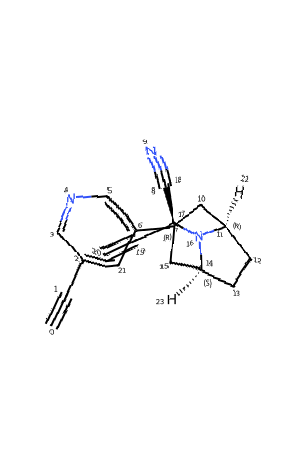 C#Cc1cncc([C@]2(C#N)C[C@H]3CC[C@@H](C2)N3C(C)C#C)c1